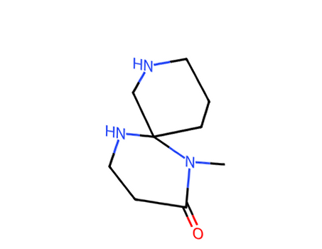 CN1C(=O)CCNC12CCCNC2